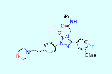 COc1cc(-c2nn(-c3ccc(CCN4CCOCC4)cc3)c(=O)n2CC(=O)NC(C)C)ccc1F